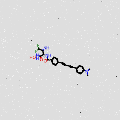 CN(C)c1ccc(C#CC#Cc2ccc(C(=O)N[C@@H](C(=N)C(F)F)C(=O)NO)cc2)cc1